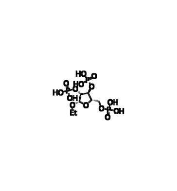 CCO[C@H]1O[C@@H](COP(=O)(O)O)[C@H](OP(=O)(O)O)[C@H]1OP(=O)(O)O